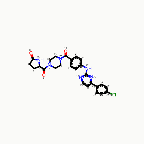 O=C1CCC(C(=O)N2CCN(C(=O)c3ccc(Nc4nccc(-c5ccc(Cl)cc5)n4)cc3)CC2)N1